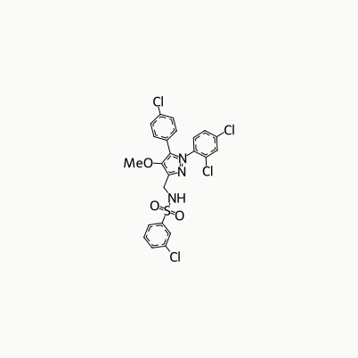 COc1c(CNS(=O)(=O)c2cccc(Cl)c2)nn(-c2ccc(Cl)cc2Cl)c1-c1ccc(Cl)cc1